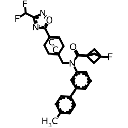 Cc1ccc(-c2cccc(N(CC34CCC(c5nc(C(F)F)no5)(CC3)CC4)C(=O)C34CC(F)(C3)C4)c2)cc1